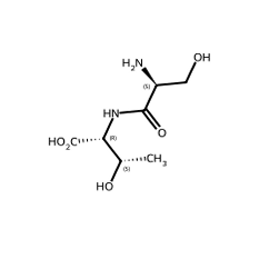 C[C@H](O)[C@@H](NC(=O)[C@@H](N)CO)C(=O)O